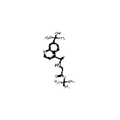 CC(C)(C)OC(=O)CNC(=O)c1ccnc2cc(C(C)(C)O)ccc12